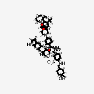 CC1(O)CCC(CNc2ccc(S(=O)(=O)NC(=O)c3ccc(N4CCC5(CC4)CC(N4CCOC[C@]46COC(C)(C)c4ccccc46)C5)cc3N3c4cc5c(F)c[nH]c5nc4O[C@H]4COCC[C@@H]43)cc2[N+](=O)[O-])CC1